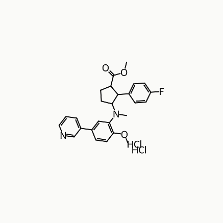 COC(=O)C1CCC(N(C)c2cc(-c3cccnc3)ccc2OC)C1c1ccc(F)cc1.Cl.Cl